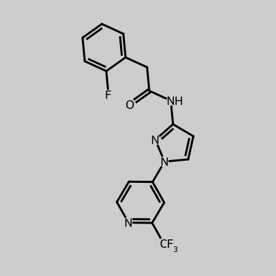 O=C(Cc1ccccc1F)Nc1ccn(-c2ccnc(C(F)(F)F)c2)n1